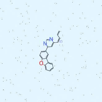 C=C/C=C\c1cc(-c2ccc3oc4ccccc4c3c2)ncn1